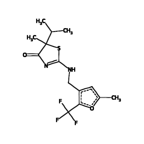 Cc1cc(CNC2=NC(=O)C(C)(C(C)C)S2)c(C(F)(F)F)o1